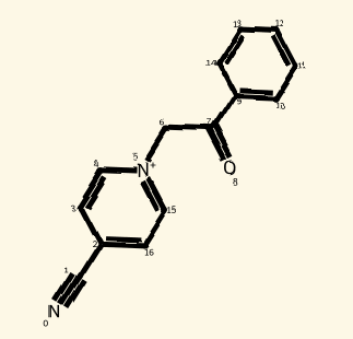 N#Cc1cc[n+](CC(=O)c2ccccc2)cc1